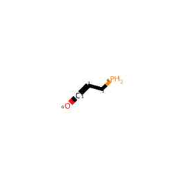 O=C=CCP